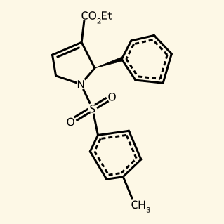 CCOC(=O)C1=CCN(S(=O)(=O)c2ccc(C)cc2)[C@@H]1c1ccccc1